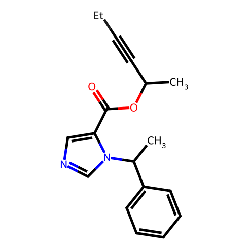 CCC#CC(C)OC(=O)c1cncn1C(C)c1ccccc1